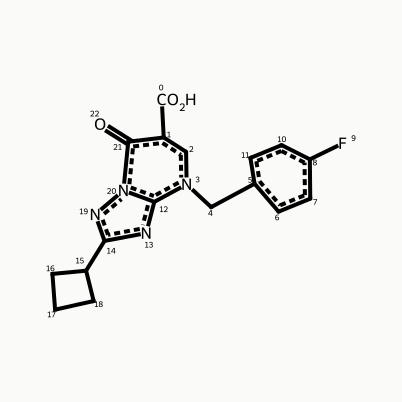 O=C(O)c1cn(Cc2ccc(F)cc2)c2nc(C3CCC3)nn2c1=O